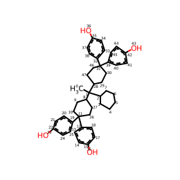 CC(C1CCCCC1)(C1CCC(c2ccc(O)cc2)(c2ccc(O)cc2)CC1)C1CCC(c2ccc(O)cc2)(c2ccc(O)cc2)CC1